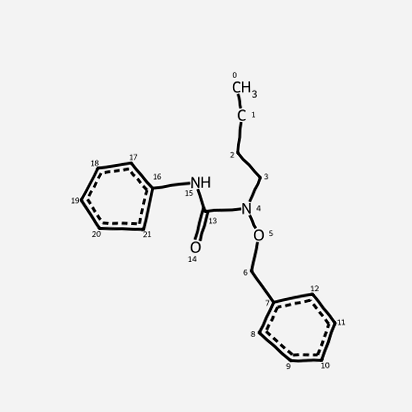 CCCCN(OCc1ccccc1)C(=O)Nc1ccccc1